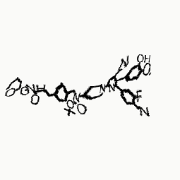 COc1ccc(-c2c(C#N)cc(N3CCC(N(Cc4ccc(/C=C/C(=O)NOC5CCCCO5)cc4)C(=O)OC(C)(C)C)CC3)nc2-c2ccc(C#N)c(F)c2)cc1O